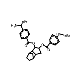 CCCCNc1ccc(C(=O)OC2CC3C4CCC(C4)C3C2OC(=O)c2ccc(C(N)CCC)cc2)cc1